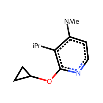 CNc1ccnc(OC2CC2)c1C(C)C